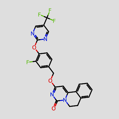 O=c1nc(OCc2ccc(Oc3ncc(C(F)(F)F)cn3)c(F)c2)cc2n1CCc1ccccc1-2